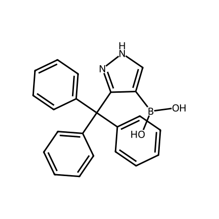 OB(O)c1c[nH]nc1C(c1ccccc1)(c1ccccc1)c1ccccc1